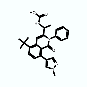 CC(NC(=O)O)c1cc2c(C(C)(C)C)ccc(-c3cnn(C)c3)c2c(=O)n1-c1ccccc1